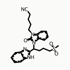 CS(=O)(=O)CCCC(c1nc2ccccc2[nH]1)n1c(=O)n(CCCCC#N)c2ccccc21